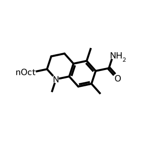 CCCCCCCCC1CCc2c(cc(C)c(C(N)=O)c2C)N1C